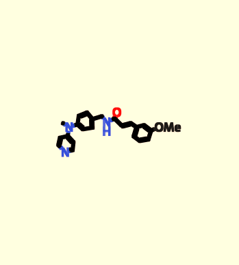 COc1cccc(/C=C/C(=O)NCc2ccc(N(C)c3ccncc3)cc2)c1